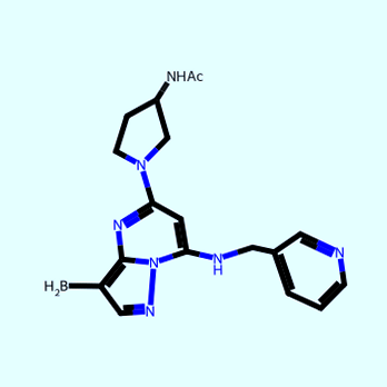 Bc1cnn2c(NCc3cccnc3)cc(N3CCC(NC(C)=O)C3)nc12